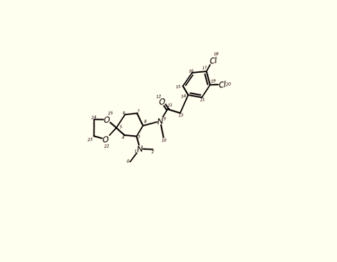 CN(C)C1CC2(CCC1N(C)C(=O)Cc1ccc(Cl)c(Cl)c1)OCCO2